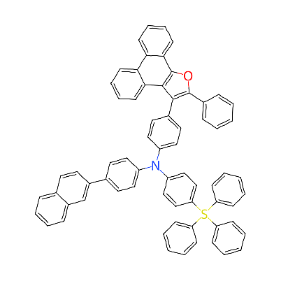 c1ccc(-c2oc3c4ccccc4c4ccccc4c3c2-c2ccc(N(c3ccc(-c4ccc5ccccc5c4)cc3)c3ccc(S(c4ccccc4)(c4ccccc4)c4ccccc4)cc3)cc2)cc1